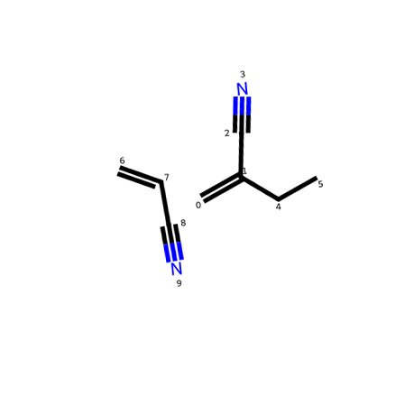 C=C(C#N)CC.C=CC#N